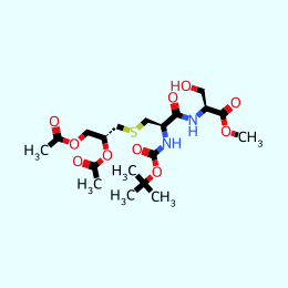 COC(=O)[C@H](CO)NC(=O)[C@H](CSC[C@@H](COC(C)=O)OC(C)=O)NC(=O)OC(C)(C)C